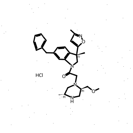 COC[C@H]1CN[C@H](C)CN1CC(=O)N1C[C@@](C)(c2cc(C)no2)c2ccc(Cc3ccccc3)cc21.Cl